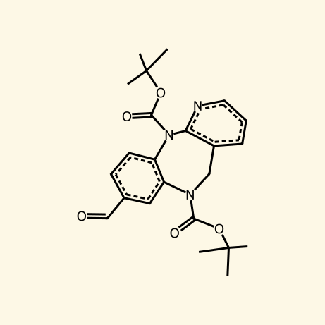 CC(C)(C)OC(=O)N1Cc2cccnc2N(C(=O)OC(C)(C)C)c2ccc(C=O)cc21